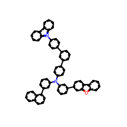 c1cc(-c2ccc(N(c3cccc(-c4ccc5c(c4)oc4ccccc45)c3)c3cccc(-c4cccc5ccccc45)c3)cc2)cc(-c2ccc(-n3c4ccccc4c4ccccc43)cc2)c1